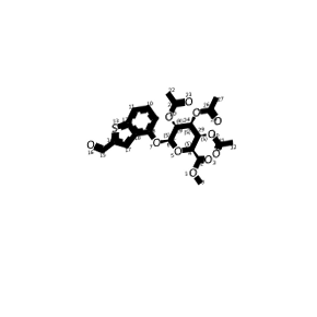 COC(=O)[C@H]1O[C@@H](Oc2cccc3sc(C=O)cc23)[C@H](OC(C)=O)[C@@H](OC(C)=O)[C@@H]1OC(C)=O